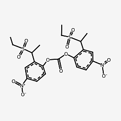 CCS(=O)(=O)C(C)c1cc([N+](=O)[O-])ccc1OC(=O)Oc1ccc([N+](=O)[O-])cc1C(C)S(=O)(=O)CC